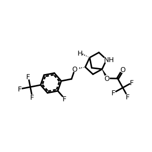 O=C(O[C@@]12C[C@H](CN1)[C@@H](OCc1ccc(C(F)(F)F)cc1F)C2)C(F)(F)F